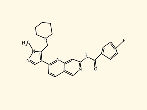 Cn1ncc(-c2ccc3cnc(NC(=O)c4ccc(F)cc4)cc3n2)c1CN1CCCCC1